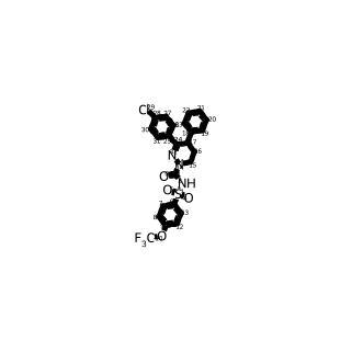 O=C(NS(=O)(=O)c1ccc(OC(F)(F)F)cc1)N1CCC(c2ccccc2)C(c2ccc(Cl)cc2)=N1